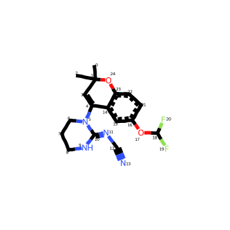 CC1(C)C=C(N2CCCNC2=NC#N)c2cc(OC(F)F)ccc2O1